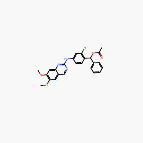 COc1cc2cnc(Nc3ccc(C(OC(C)=O)c4ccccc4)c(Cl)c3)nc2cc1OC